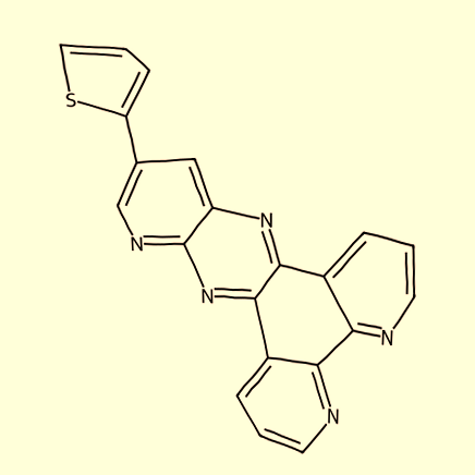 c1csc(-c2cnc3nc4c5cccnc5c5ncccc5c4nc3c2)c1